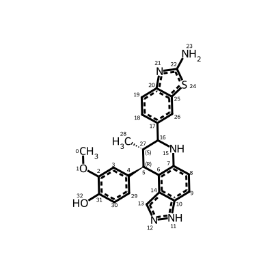 COc1cc([C@@H]2c3c(ccc4[nH]ncc34)NC(c3ccc4nc(N)sc4c3)[C@H]2C)ccc1O